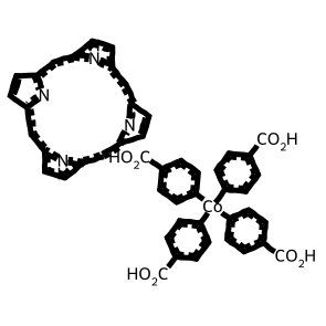 C1=Cc2cc3ccc(cc4nc(cc5ccc(cc1n2)[nH]5)C=C4)[nH]3.O=C(O)c1cc[c]([Co]([c]2ccc(C(=O)O)cc2)([c]2ccc(C(=O)O)cc2)[c]2ccc(C(=O)O)cc2)cc1